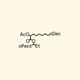 CCCCCCCCCCCCCCCCC(OC(C)=O)C(=O)OC(CC)CCCCC